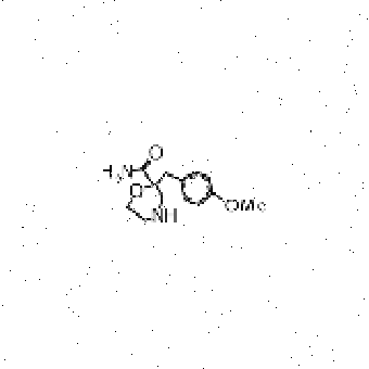 COc1ccc(CC2(C(N)=O)CNCCO2)cc1